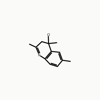 CC1=Nc2ccc(C)cc2C(C)(Cl)C1